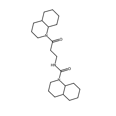 O=C(CCNC(=O)N1CCCC2CCCCC21)N1CCCC2CCCCC21